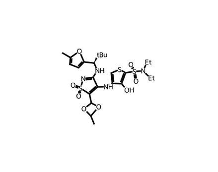 CCN(CC)S(=O)(=O)c1scc(NC2=C(C3OC(C)O3)S(=O)(=O)N=C2N[C@@H](c2ccc(C)o2)C(C)(C)C)c1O